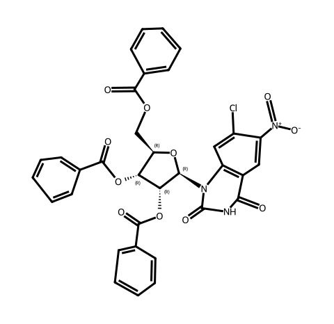 O=C(OC[C@H]1O[C@@H](n2c(=O)[nH]c(=O)c3cc([N+](=O)[O-])c(Cl)cc32)[C@H](OC(=O)c2ccccc2)[C@@H]1OC(=O)c1ccccc1)c1ccccc1